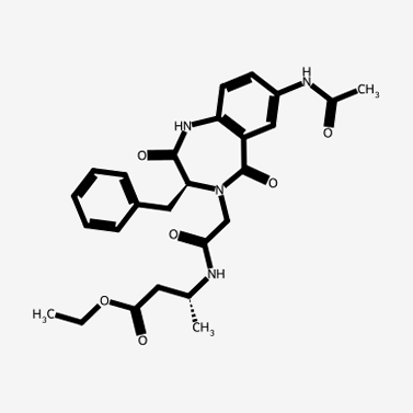 CCOC(=O)C[C@@H](C)NC(=O)CN1C(=O)c2cc(NC(C)=O)ccc2NC(=O)[C@@H]1Cc1ccccc1